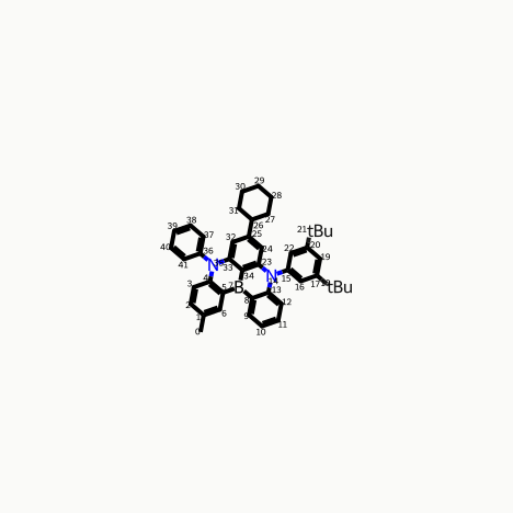 Cc1ccc2c(c1)B1c3ccccc3N(c3cc(C(C)(C)C)cc(C(C)(C)C)c3)c3cc(C4CCCCC4)cc(c31)N2c1ccccc1